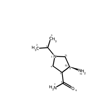 CC(C)N1CC(C(N)=O)[C@H](N)C1